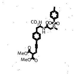 COC(=O)C(CC#Cc1ccc(C[C@H](NC(=O)CN(C)S(=O)(=O)c2ccc(C)cc2)C(=O)O)cc1)C(=O)OC